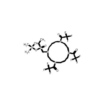 CCP(=O)(CN1CCCN(C(=O)C(F)(F)F)CCN(C(=O)C(F)(F)F)CCCN(C(=O)C(F)(F)F)CC1)O[Si](C)(C)C